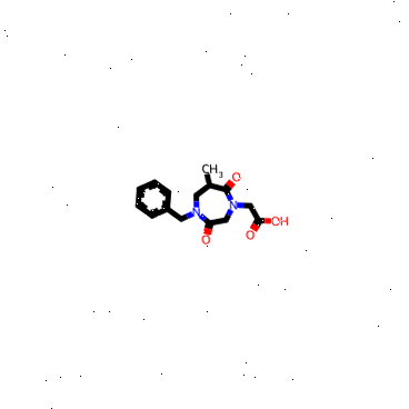 CC1CN(Cc2ccccc2)C(=O)CN(CC(=O)O)C1=O